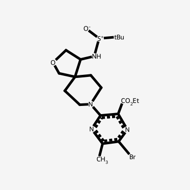 CCOC(=O)c1nc(Br)c(C)nc1N1CCC2(CC1)COCC2N[S+]([O-])C(C)(C)C